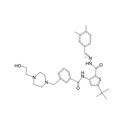 Cc1ccc(/C=N/NC(=O)c2sc(C(C)(C)C)cc2NC(=O)c2cccc(CN3CCN(CCO)CC3)c2)cc1C